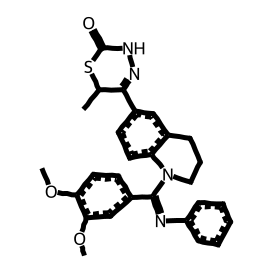 COc1ccc(/C(=N/c2ccccc2)N2CCCc3cc(C4=NNC(=O)SC4C)ccc32)cc1OC